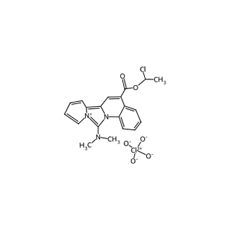 CC(Cl)OC(=O)c1cc2c3cccc[n+]3c(N(C)C)n2c2ccccc12.[O-][Cl+3]([O-])([O-])[O-]